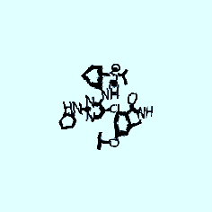 CC(C)Oc1ccc2c(c1)CNC2=O.CC(C)S(=O)(=O)c1ccccc1Nc1nc(NC2CCCCC2)ncc1Cl